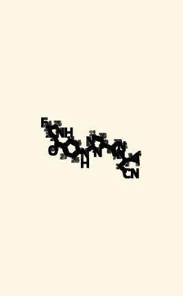 N#CCC(C1CC1)n1cc(-c2ccnc(Nc3ccc(C(=O)C4CC(F)CN4)cc3)n2)cn1